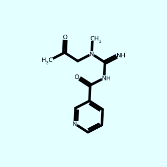 CC(=O)CN(C)C(=N)NC(=O)c1cccnc1